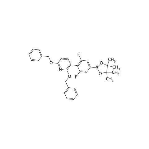 CC1(C)OB(c2cc(F)c(-c3ccc(OCc4ccccc4)nc3OCc3ccccc3)c(F)c2)OC1(C)C